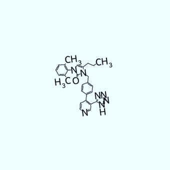 CCCc1cn(-c2c(C)cccc2C)c(=O)n1Cc1ccc(-c2ccncc2-c2nnn[nH]2)cc1